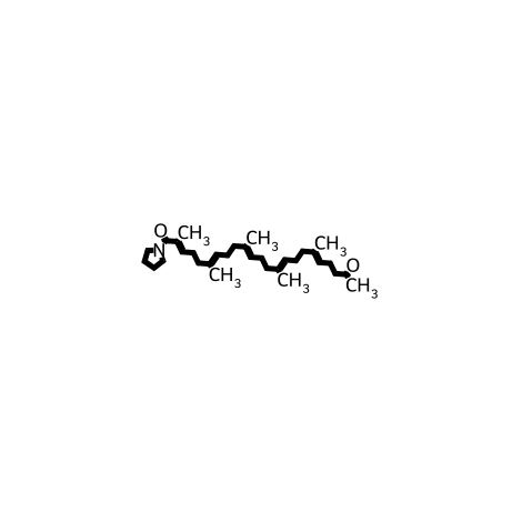 CC(=O)CCC=C(C)CCC=C(C)CCC=C(C)CCC=C(C)CCC=C(C)C(=O)N1CCCC1